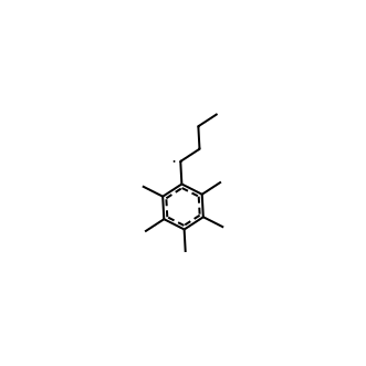 CCC[CH]c1c(C)c(C)c(C)c(C)c1C